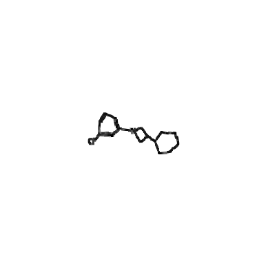 Clc1cccc(N2CC(C3CCCCC3)C2)c1